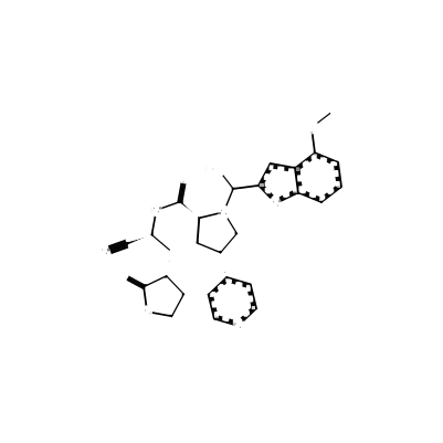 COc1cccc2[nH]c(C(O)N3C[C@H](c4ccncc4)C[C@H]3C(=O)N[C@H](C#N)C[C@@H]3CCNC3=O)cc12